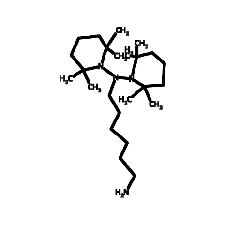 CC1(C)CCCC(C)(C)N1N(CCCCCCN)N1C(C)(C)CCCC1(C)C